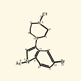 CCN1CCN(c2cn(C(C)=O)c3ccc(Br)cc23)CC1